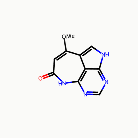 COC1=CC(=O)Nc2ncnc3[nH]cc1c23